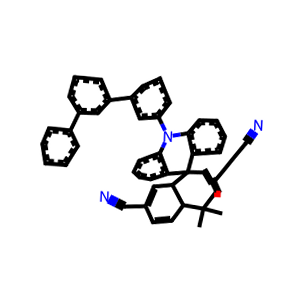 CC1(C)C2C=CC(C#N)=CC2C2(c3ccccc3N(c3cccc(-c4cccc(-c5ccccc5)c4)c3)c3ccccc32)C2C=C(C#N)C=CC21